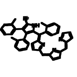 Cc1ccccc1C(=C1C=CC(C=C2C=CC(C=C3C=CC=N3)=N2)=N1)c1[nH][c]([Bi])c(-c2ccccc2C)c1-c1ccccc1C